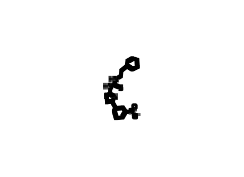 O=[N+]([O-])c1cccc(-c2csc(NC(=S)NCCc3ccccc3)n2)c1